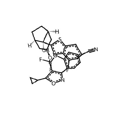 N#Cc1cc(F)c2nc([C@@]3(O)[C@@H]4CC[C@H]3C[C@@H](OCc3c(-c5ccccc5OC(F)F)noc3C3CC3)C4)sc2c1